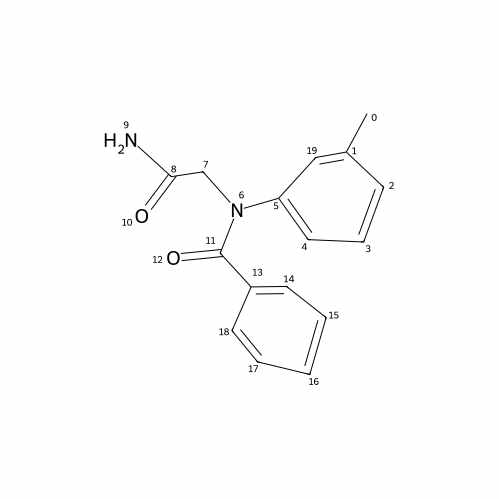 Cc1cccc(N(CC(N)=O)C(=O)c2ccccc2)c1